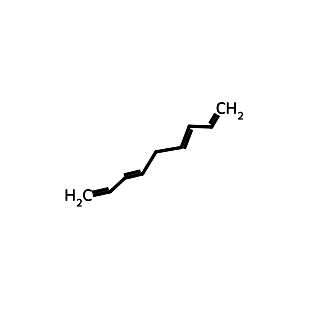 C=CC=CCC=CC=C